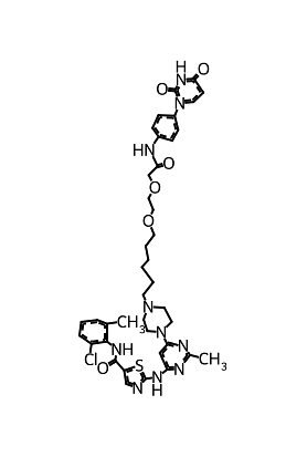 Cc1nc(Nc2ncc(C(=O)Nc3c(C)cccc3Cl)s2)cc(N2CCN(CCCCCCOCCOCC(=O)Nc3ccc(-n4ccc(=O)[nH]c4=O)cc3)CC2)n1